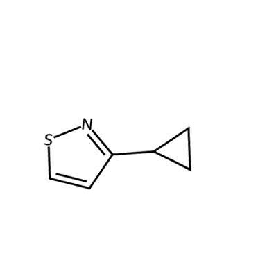 c1cc(C2CC2)ns1